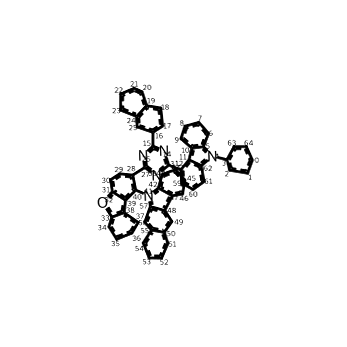 c1ccc(-n2c3ccccc3c3c(-c4nc(-c5ccc6ccccc6c5)nc(-c5ccc6oc7ccccc7c6c5-n5c6ccccc6c6cc7ccccc7cc65)n4)cccc32)cc1